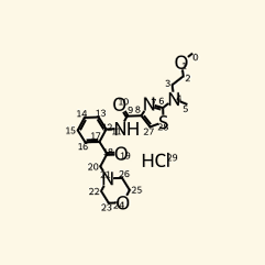 COCCN(C)c1nc(C(=O)Nc2ccccc2C(=O)CN2CCOCC2)cs1.Cl